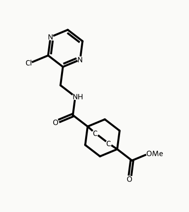 COC(=O)C12CCC(C(=O)NCc3nccnc3Cl)(CC1)CC2